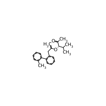 C=C(Cc1ccccc1-c1ccccc1C)O[C@H](C(C)=O)C(C)C